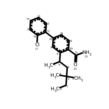 CCC(C)(C)CC(C)c1cc(-c2ccccc2Cl)ccc1C(N)=O